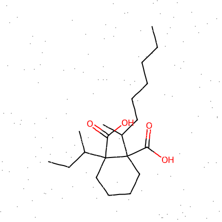 CCCCCCC(C)C1(C(=O)O)CCCCC1(C(=O)O)C(C)CC